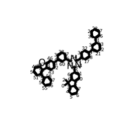 CC1(C)c2ccccc2-c2ccc(-c3nc(-c4ccc(-c5cccc(-c6ccccc6)c5)cc4)nc(-c4cccc(-c5ccc6c(c5)oc5cccc(-c7ccccc7)c56)c4)n3)cc21